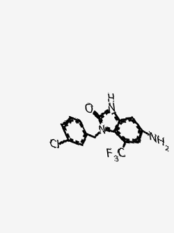 Nc1cc(C(F)(F)F)c2c(c1)[nH]c(=O)n2Cc1cccc(Cl)c1